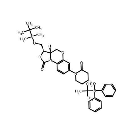 CC(C)(C)[Si](C)(C)OC[C@@H]1OC(=O)N2c3ccc(N4CC[C@@H](O[Si](c5ccccc5)(c5ccccc5)C(C)(C)C)CC4=O)cc3OC[C@@H]12